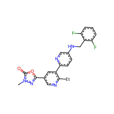 CCc1ncc(-c2nn(C)c(=O)o2)cc1-c1ccc(NCc2c(F)cccc2F)cn1